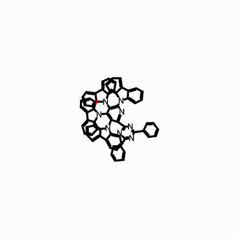 c1ccc(-c2nc(-c3ccccc3)nc(-c3nc(-n4c5ccccc5c5ccccc54)c(-n4c5ccccc5c5ccccc54)c(-n4c5ccccc5c5ccccc54)c3-n3c4ccccc4c4ccccc43)n2)cc1